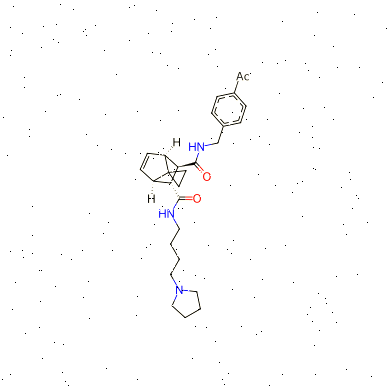 CC(=O)c1ccc(CNC(=O)[C@H]2[C@H](C(=O)NCCCCN3CCCC3)[C@H]3C=C[C@@H]2C32CC2)cc1